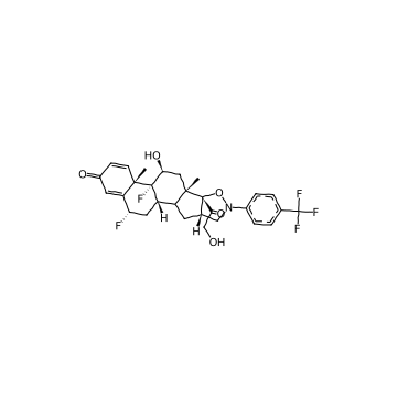 C[C@]12C=CC(=O)C=C1[C@@H](F)C[C@H]1C3C[C@H]4CN(c5ccc(C(F)(F)F)cc5)O[C@@]4(C(=O)CO)[C@@]3(C)C[C@H](O)[C@@]12F